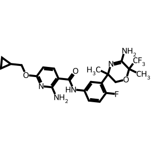 CC1(c2cc(NC(=O)c3ccc(OCC4CC4)nc3N)ccc2F)COC(C)(C(F)(F)F)C(N)=N1